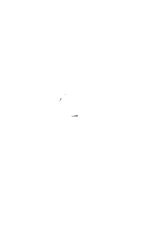 CCCCCC[C@H]1C(=O)OCC(C)[C@H]1O